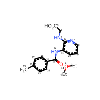 CCOCC.O=C(O)CNc1ncccc1NC(=O)c1ccc(C(F)(F)F)cc1